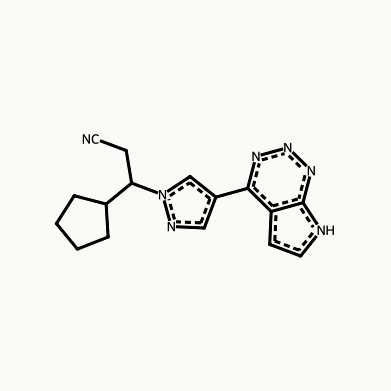 N#CCC(C1CCCC1)n1cc(-c2nnnc3[nH]ccc23)cn1